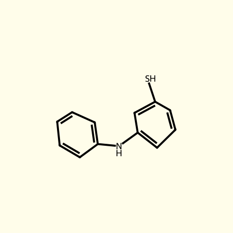 Sc1cccc(Nc2ccccc2)c1